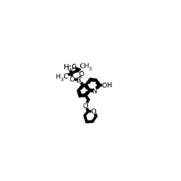 CC1(C)OB(c2ccc(COC3CCCCO3)c3nc(O)ccc23)OC1(C)C